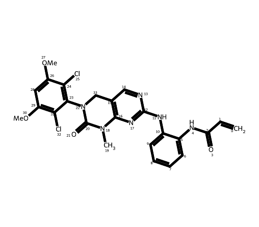 C=CC(=O)Nc1ccccc1Nc1ncc2c(n1)N(C)C(=O)N(c1c(Cl)c(OC)cc(OC)c1Cl)C2